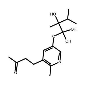 CC(=O)CCc1cc(OC(O)(O)C(C)(O)C(C)C)cnc1C